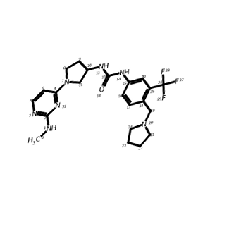 CNc1nccc(N2CCC(NC(=O)Nc3ccc(CN4CCCC4)c(C(F)(F)F)c3)C2)n1